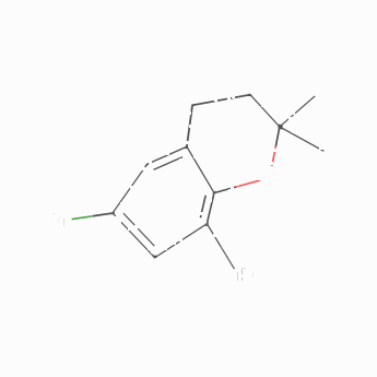 CC(C)c1cc(Br)cc2c1OC(C)(C)CC2